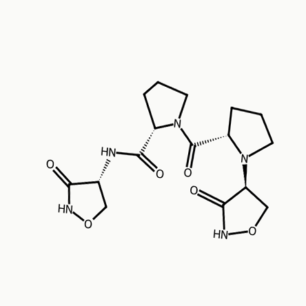 O=C1NOC[C@H]1NC(=O)[C@@H]1CCCN1C(=O)[C@@H]1CCCN1[C@H]1CONC1=O